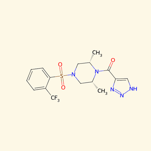 C[C@@H]1CN(S(=O)(=O)c2ccccc2C(F)(F)F)C[C@H](C)N1C(=O)c1c[nH]nn1